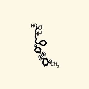 COc1cccc(S(=O)(=O)c2ccc(OC(CCCNCC(=O)O)c3ccccc3)cc2)c1